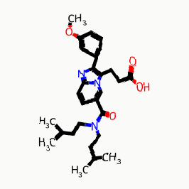 COc1cccc(-c2nc3ccc(C(=O)N(CCC(C)C)CCC(C)C)cn3c2CCC(=O)O)c1